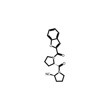 N#C[C@@H]1CCCN1C(=O)[C@@H]1CCCN1C(=O)c1cc2ccccc2o1